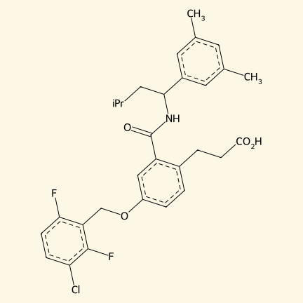 Cc1cc(C)cc(C(CC(C)C)NC(=O)c2cc(OCc3c(F)ccc(Cl)c3F)ccc2CCC(=O)O)c1